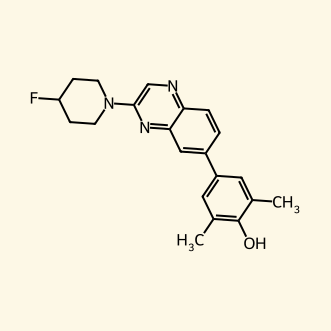 Cc1cc(-c2ccc3ncc(N4CCC(F)CC4)nc3c2)cc(C)c1O